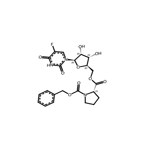 O=C(OC[C@H]1O[C@@H](n2cc(F)c(=O)[nH]c2=O)[C@H](O)[C@@H]1O)[C@@H]1CCCN1C(=O)OCc1ccccc1